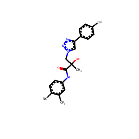 CC(O)(Cn1cc(-c2ccc(C#N)cc2)nn1)C(=O)Nc1ccc(C#N)c(C(F)(F)F)c1